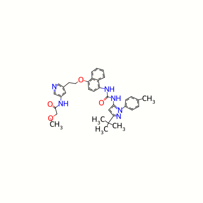 COCC(=O)Nc1cncc(CCOc2ccc(NC(=O)Nc3cc(C(C)(C)C)nn3-c3ccc(C)cc3)c3ccccc23)c1